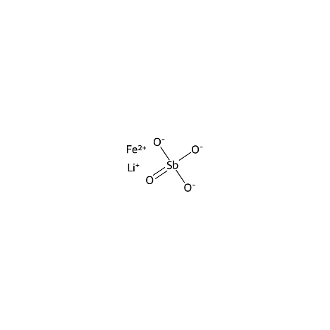 [Fe+2].[Li+].[O]=[Sb]([O-])([O-])[O-]